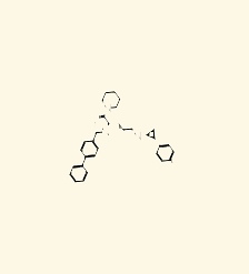 O=C(N[C@@H](CCCN[C@@H]1C[C@H]1c1ccc(F)cc1)C(=O)N1CCCCC1)c1ccc(-c2ccccc2)cc1